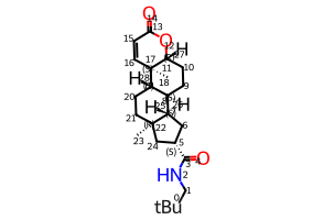 CC(C)(C)CNC(=O)[C@H]1C[C@H]2[C@@H]3CC[C@H]4OC(=O)C=C[C@]4(C)[C@H]3CC[C@]2(C)C1